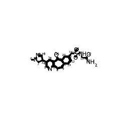 CN1CC(c2cnc3ccc4ccc(CS(=O)(=O)NCC(N)=O)cc4c(=O)c3c2)C=N1